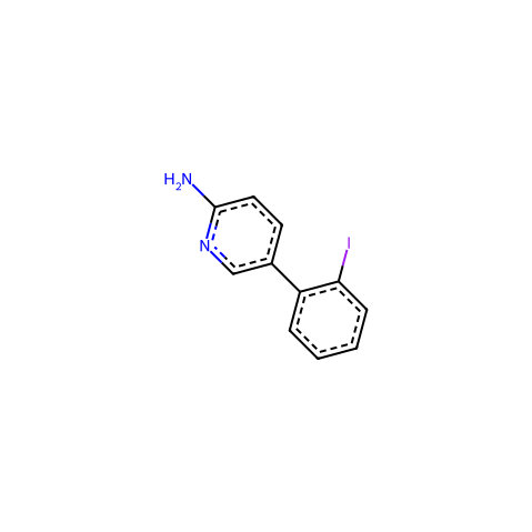 Nc1ccc(-c2ccccc2I)cn1